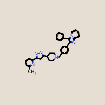 Cc1cccc(C2=NN=C(C3CCN(Cc4ccc(-c5nc6ccccn6c5-c5ccccc5)cc4)CC3)C2)n1